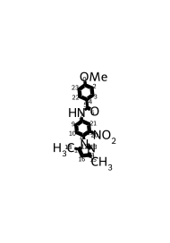 COc1ccc(C(=O)Nc2ccc(-n3nc(C)cc3C)c([N+](=O)[O-])c2)cc1